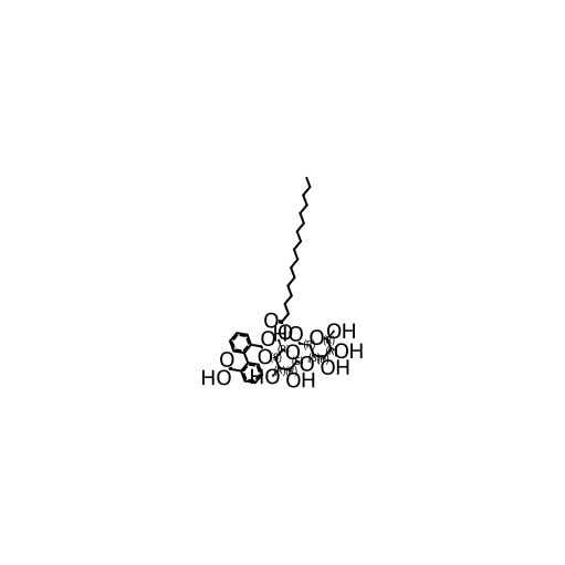 CCCCCCCCCCCCCCCCC(=O)OC[C@H]1O[C@@H](O[C@H]2[C@H](O)[C@@H](O)[C@H](O)O[C@@H]2CO)[C@H](O)[C@@H](O)[C@@H]1OC(=O)c1ccccc1-c1ccccc1C(=O)O